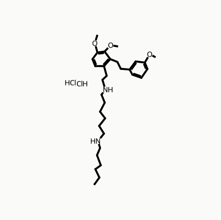 CCCCCCNCCCCCCNCCc1ccc(OC)c(OC)c1CCc1cccc(OC)c1.Cl.Cl